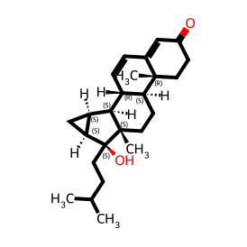 CC(C)CC[C@]1(O)[C@H]2C[C@H]2[C@H]2[C@@H]3C=CC4=CC(=O)CC[C@]4(C)[C@H]3CC[C@@]21C